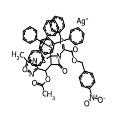 CC(=O)OC(c1noc(C)n1)C1C(=O)N(C(C(=O)OCc2ccc([N+](=O)[O-])cc2)=P(c2ccccc2)(c2ccccc2)c2ccccc2)C1([S-])SC(c1ccccc1)(c1ccccc1)c1ccccc1.[Ag+]